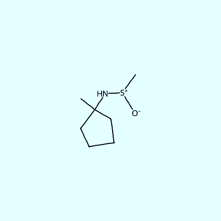 C[S+]([O-])NC1(C)CCCC1